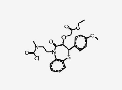 CCOC(=O)COC1C(=O)N(CCN(C)C(=O)Cl)c2ccccc2SC1c1ccc(OC)cc1